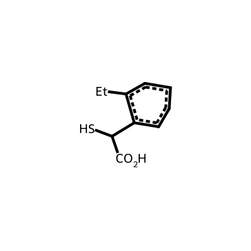 CCc1ccccc1C(S)C(=O)O